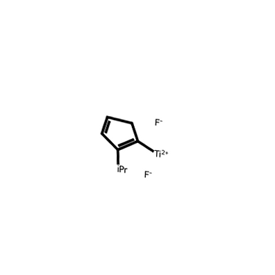 CC(C)C1=[C]([Ti+2])CC=C1.[F-].[F-]